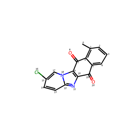 Cc1cccc2c1C(=O)c1c(nc3ccc(Cl)cn13)C2=O